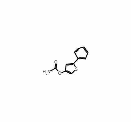 NC(=O)Oc1csc(-c2ccccc2)c1